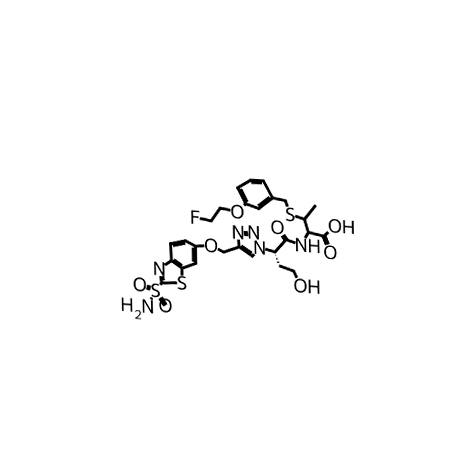 CC(SCc1cccc(OCCF)c1)C(NC(=O)[C@H](CCO)n1cc(COc2ccc3nc(S(N)(=O)=O)sc3c2)nn1)C(=O)O